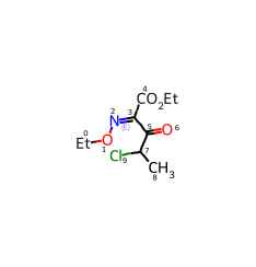 CCO/N=C(/C(=O)OCC)C(=O)C(C)Cl